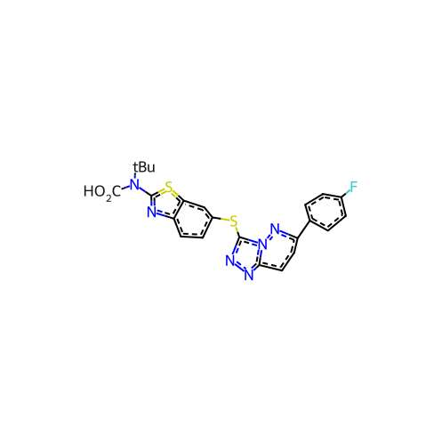 CC(C)(C)N(C(=O)O)c1nc2ccc(Sc3nnc4ccc(-c5ccc(F)cc5)nn34)cc2s1